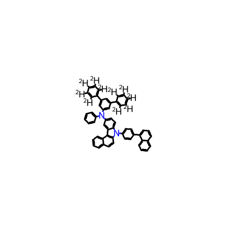 [2H]c1c([2H])c([2H])c(-c2cc(-c3c([2H])c([2H])c([2H])c([2H])c3[2H])cc(N(c3ccccc3)c3ccc4c(c3)c3c5ccccc5ccc3n4-c3ccc(-c4cccc5ccccc45)cc3)c2)c([2H])c1[2H]